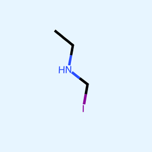 CCNCI